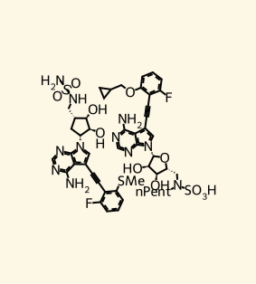 CCCCCN(C[C@H]1O[C@@H](n2cc(C#Cc3c(F)cccc3OCC3CC3)c3c(N)ncnc32)[C@H](O)[C@@H]1O)S(=O)(=O)O.CSc1cccc(F)c1C#Cc1cn([C@@H]2C[C@H](CNS(N)(=O)=O)[C@@H](O)[C@H]2O)c2ncnc(N)c12